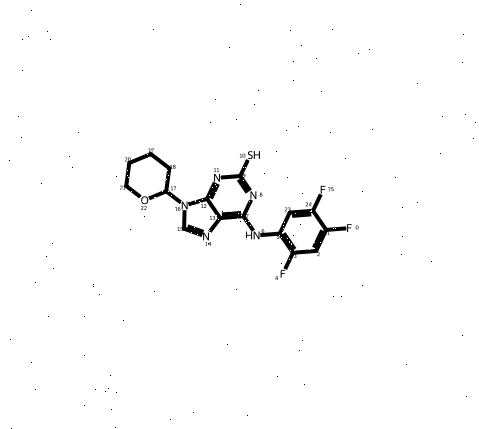 Fc1cc(F)c(Nc2nc(S)nc3c2ncn3C2CCCCO2)cc1F